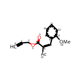 C#CCOC(=O)/C(=C\c1ccccc1OC)C(C)=O